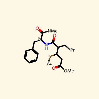 CNC(=O)[C@H](Cc1ccccc1)NC(=O)C(CC(C)C)C(CC(=O)OC)SC(C)=O